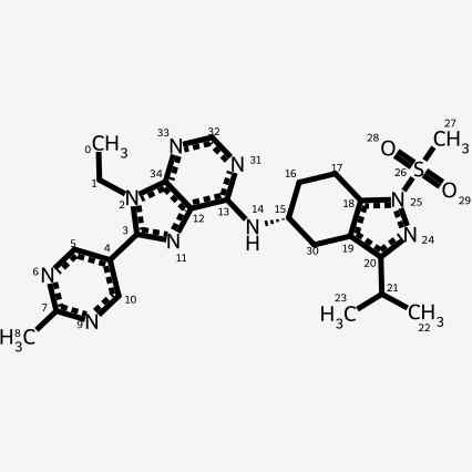 CCn1c(-c2cnc(C)nc2)nc2c(N[C@@H]3CCc4c(c(C(C)C)nn4S(C)(=O)=O)C3)ncnc21